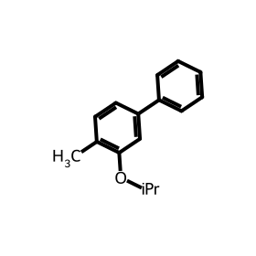 Cc1ccc(-c2ccccc2)cc1OC(C)C